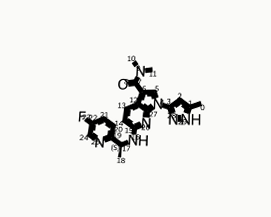 Cc1cc(-n2cc(C(=O)N(C)C)c3ccc(N[C@@H](C)c4ccc(F)cn4)nc32)n[nH]1